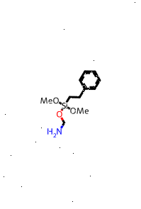 CO[Si](CCc1ccccc1)(OC)OCN